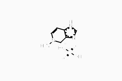 NN1C=Cc2[nH]cnc2C1.O=S(=O)(O)O